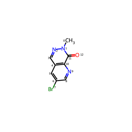 Cn1ncc2cc(Br)cnc2c1=O